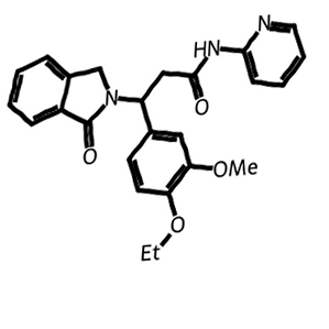 CCOc1ccc(C(CC(=O)Nc2ccccn2)N2Cc3ccccc3C2=O)cc1OC